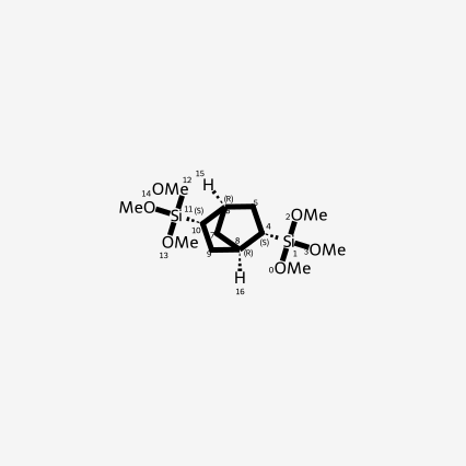 CO[Si](OC)(OC)[C@H]1C[C@H]2C[C@@H]1C[C@@H]2[Si](OC)(OC)OC